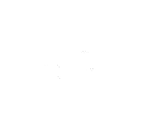 COc1cn[n+]([O-])cc1OC